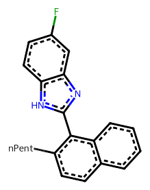 CCCCCc1ccc2ccccc2c1-c1nc2cc(F)ccc2[nH]1